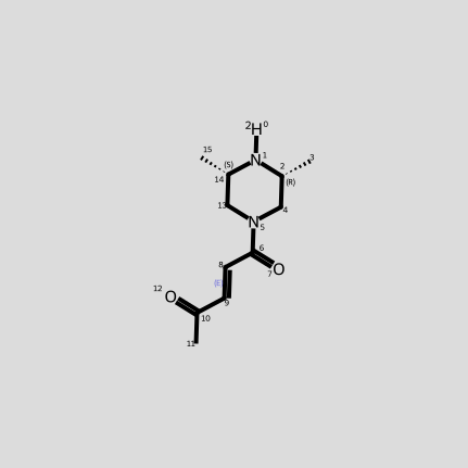 [2H]N1[C@H](C)CN(C(=O)/C=C/C(C)=O)C[C@@H]1C